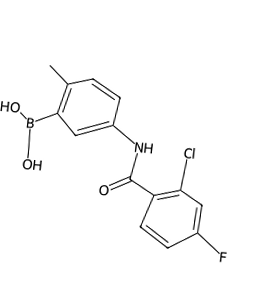 Cc1ccc(NC(=O)c2ccc(F)cc2Cl)cc1B(O)O